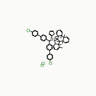 CC1=CC=CC2[CH]([Zr+2]([C]3=CC=CC3)=[C](c3ccc(-c4ccc(Cl)cc4)cc3)c3ccc(-c4ccc(Cl)cc4)cc3)C3(C)C4(C)C=CC=CC4(C)C4(C)C=CC=CC4(C)C3(C)C12C.[Cl-].[Cl-]